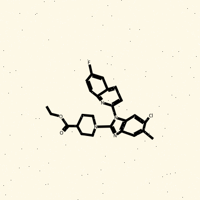 CCOC(=O)C1CCN(c2nc3cc(C)c(Cl)cc3n2-c2ccc3cc(F)ccc3n2)CC1